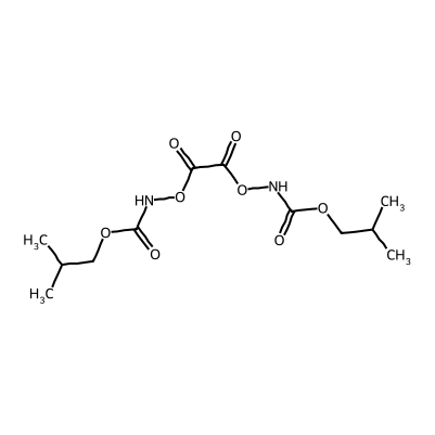 CC(C)COC(=O)NOC(=O)C(=O)ONC(=O)OCC(C)C